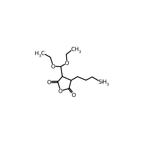 CCOC(OCC)C1C(=O)OC(=O)C1CCC[SiH3]